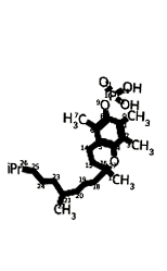 Cc1c(C)c2c(c(C)c1OP(=O)(O)O)CCC(C)(CCCC(C)CCCC(C)C)O2